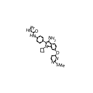 CSc1nccc(Oc2ccc3c(N)c(-c4ccc(NC(=O)NC(C)C)cc4)n(C4CCC4)c3c2)n1